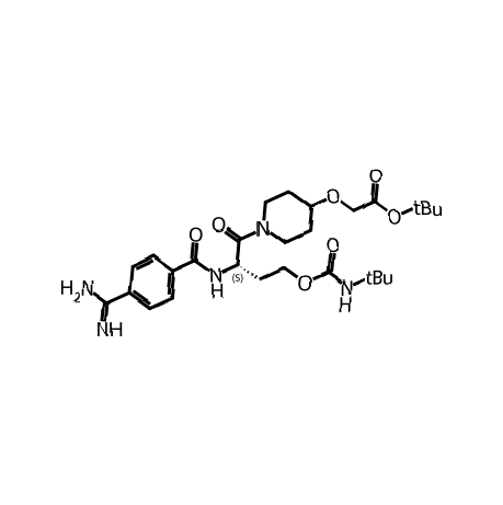 CC(C)(C)NC(=O)OCC[C@H](NC(=O)c1ccc(C(=N)N)cc1)C(=O)N1CCC(OCC(=O)OC(C)(C)C)CC1